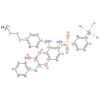 CCCCc1ccc(Nc2cc(OC(Cc3ccccc3)C(=O)O)ccc2NS(=O)(=O)c2cccc(C(F)(F)F)c2)cc1